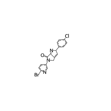 O=C1C2=NC(c3ccc(Cl)cc3)C=C2CN1c1ccc(Br)nc1